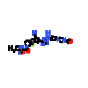 Cc1noc(C(=O)N2CCC[C@H](Cc3ccc(-c4ncnc(Nc5ccc(N6CCN(C7COC7)CC6)cc5)n4)cc3C#N)[C@H](F)C2)n1